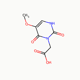 COc1c[nH]c(=O)n(CC(=O)O)c1=O